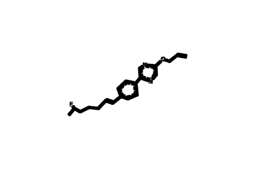 C=CCOc1cnc(-c2ccc(C=CCCCC(C)F)cc2)cn1